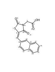 O=C(O)CN1C(=O)SC(=Cc2ccc3ccccc3c2)C1=O